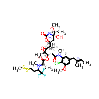 C/C=C(\C)Cc1cc(OC)c(Cl)c(N(C)C(=O)C[C@H](OC(=O)[C@H](C)N(C)C(CCSSC)C(F)(F)F)[C@]2(C)O[C@H]2[C@H](C)[C@@H]2C[C@](O)([C@@H](C)OC)NC(=O)O2)c1